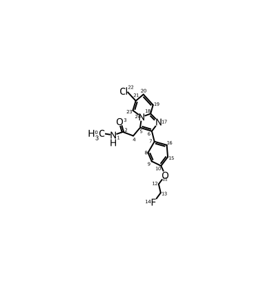 CNC(=O)Cc1c(-c2ccc(OCCF)cc2)nc2ccc(Cl)cn12